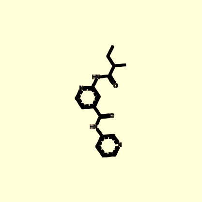 CCC(C)C(=O)Nc1cc(C(=O)Nc2cccnc2)ccn1